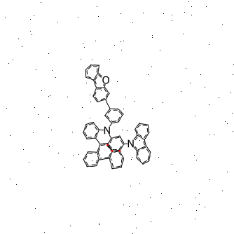 c1cc(-c2ccc3c(c2)oc2ccccc23)cc(N(c2cccc(-n3c4ccccc4c4ccccc43)c2)c2ccccc2-c2cc3ccccc3c3ccccc23)c1